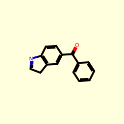 O=C(c1ccccc1)c1ccc2c(c1)CC=N2